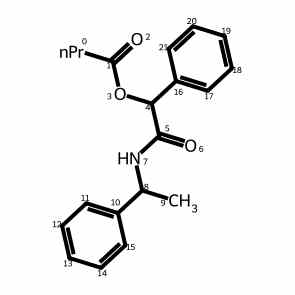 CCCC(=O)OC(C(=O)NC(C)c1ccccc1)c1ccccc1